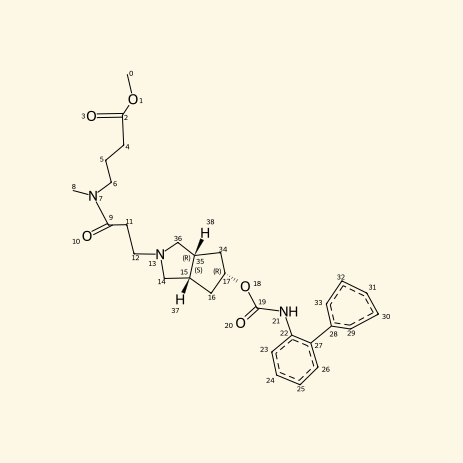 COC(=O)CCCN(C)C(=O)CCN1C[C@H]2C[C@@H](OC(=O)Nc3ccccc3-c3ccccc3)C[C@H]2C1